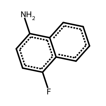 Nc1ccc(F)c2ccccc12